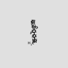 Cn1nnc(-c2ccc(-c3ccc(N4C[C@H](Cn5ccnn5)OC4=O)cc3F)cn2)n1